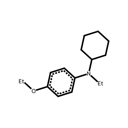 CCOc1ccc(N(CC)C2CCCCC2)cc1